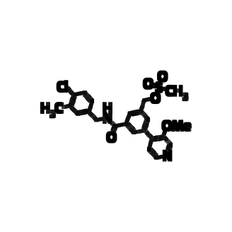 COc1cnccc1-c1cc(COS(C)(=O)=O)cc(C(=O)NCc2ccc(Cl)c(C)c2)c1